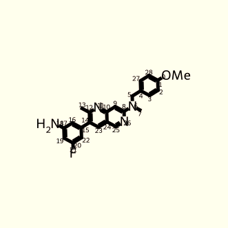 COc1ccc(CN(C)c2cc3nc(C)c(-c4cc(N)cc(F)c4)cc3cn2)cc1